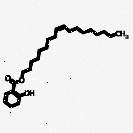 CCCCCCCC/C=C\CCCCCCCCOC(=O)C1=C(O)CCC=C1